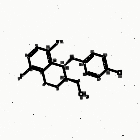 CC[C@H]1CCc2c(F)ccc(F)c2[C@@H]1Cc1ccc(Cl)cc1